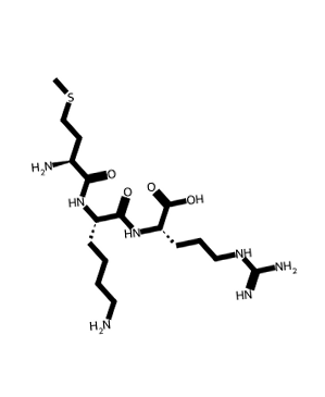 CSCC[C@H](N)C(=O)N[C@@H](CCCCN)C(=O)N[C@@H](CCCNC(=N)N)C(=O)O